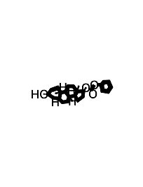 C[C@]12C=C[C@@H](O)C[C@@H]1CC[C@@H]1[C@@H]2CC[C@]2(C)[C@@H](OC(=O)Oc3ccccc3)CC[C@@H]12